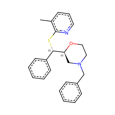 Cc1cccnc1S[C@@H](c1ccccc1)[C@@H]1CN(Cc2ccccc2)CCO1